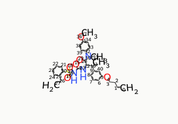 C=CCCOc1cccc([C@@H](C)[C@H](NC(=O)NS(=O)(=O)c2ccccc2C=C)C(=O)N(C)c2ccc(OC)cc2)c1